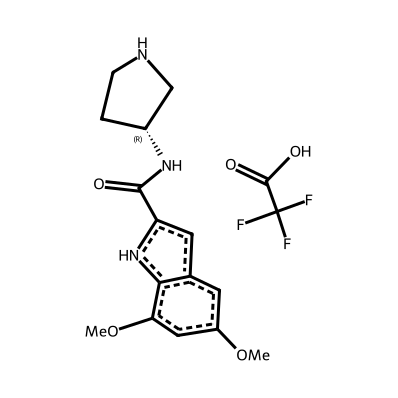 COc1cc(OC)c2[nH]c(C(=O)N[C@@H]3CCNC3)cc2c1.O=C(O)C(F)(F)F